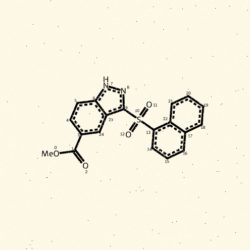 COC(=O)c1ccc2[nH]nc(S(=O)(=O)c3cccc4ccccc34)c2c1